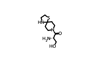 N[C@@H](CO)C(=O)N1CCC2(CC1)NCCS2